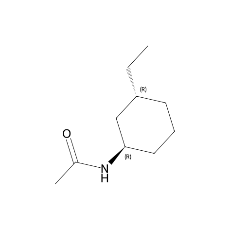 CC[C@@H]1CCC[C@@H](NC(C)=O)C1